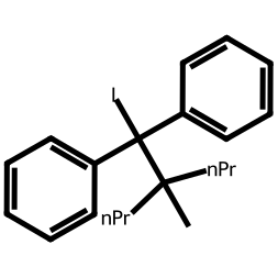 CCCC(C)(CCC)C(I)(c1ccccc1)c1ccccc1